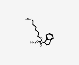 CCCCCCCCCCCCCCCCOS(=O)(=O)C1CCc2ccccc21.[NaH]